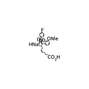 COc1cccc(C2C(C/C=C\CCCC(=O)O)CCN2S(=O)(=O)c2ccc(F)cc2)c1.[NaH]